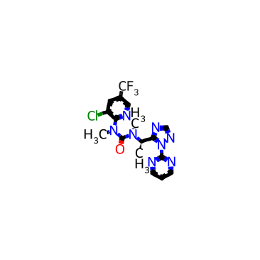 C[C@@H](c1ncnn1-c1ncccn1)N(C)C(=O)N(C)c1ncc(C(F)(F)F)cc1Cl